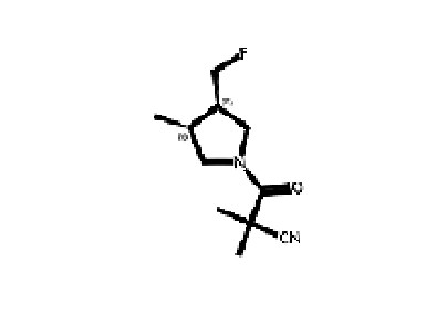 C[C@@H]1CN(C(=O)C(C)(C)C#N)C[C@@H]1CF